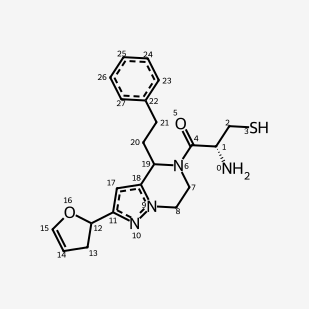 N[C@@H](CS)C(=O)N1CCn2nc(C3CC=CO3)cc2C1CCc1ccccc1